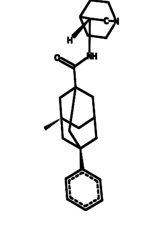 C[C@@]12CC3CC(C(=O)N[C@H]4CN5CCC4CC5)(C1)C[C@](c1ccccc1)(C3)C2